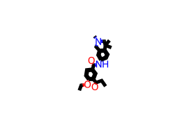 CCOc1ccc(C(=O)Nc2ccc3c(c2)CN(C)CC3(C)C)cc1C(=O)CC